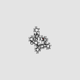 c1ccc(-c2nc(-c3ccccc3)nc(-c3cccc4oc5cc(-n6c7ccccc7c7cc8c9ccccc9n(-c9ccccc9)c8cc76)ccc5c34)n2)cc1